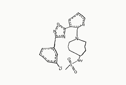 CS(=O)(=O)NC1CCN(c2ncccc2-c2nc(-c3cccc(Cl)c3)no2)CC1